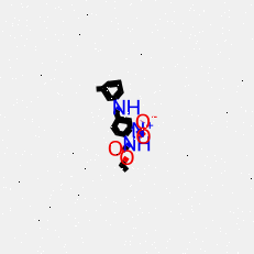 CCOC(=O)Nc1ccc(CNc2cccc(C)c2)cc1[N+](=O)[O-]